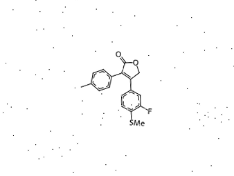 CSc1ccc(C2=C(c3ccc(C)cc3)C(=O)OC2)cc1F